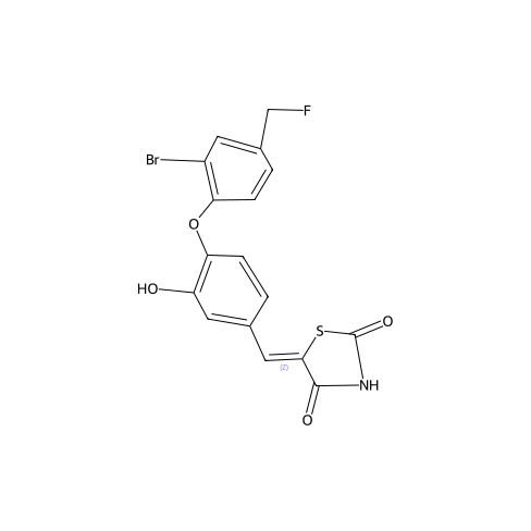 O=C1NC(=O)/C(=C/c2ccc(Oc3ccc(CF)cc3Br)c(O)c2)S1